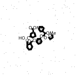 COC(=O)c1cccc(C(=O)O)c1.COC(C(=O)Oc1ccccc1)c1ccccc1.O=Cc1occ2ccccc12.c1ccoc1